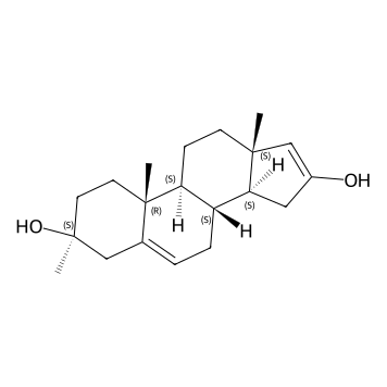 C[C@]1(O)CC[C@@]2(C)C(=CC[C@H]3[C@@H]4CC(O)=C[C@@]4(C)CC[C@@H]32)C1